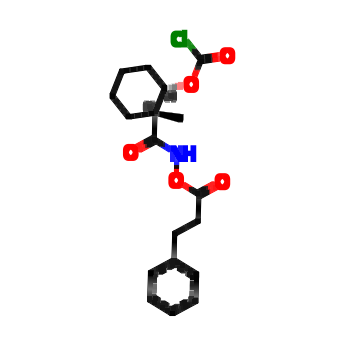 C[C@@]1(C(=O)NOC(=O)CCc2ccccc2)CCCC[C@@H]1OC(=O)Cl